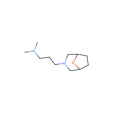 CN(C)CCCN1CC2CCC(C1)O2